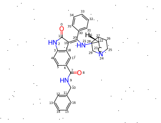 O=C1Nc2ccc(C(=O)NCc3ccccc3)cc2C1=C(N[C@H]1CN2CCC1CC2)c1ccccc1